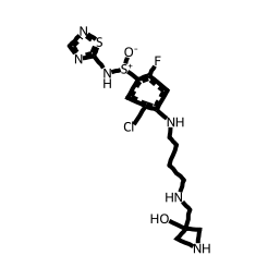 [O-][S+](Nc1ncns1)c1cc(Cl)c(NCCCCNCC2(O)CNC2)cc1F